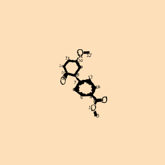 COC(=O)c1ccc([C@@H]2C[C@@H](OC)CCC2=O)cc1